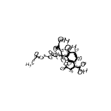 CC(=O)OCOC(=O)CNC(C)(CC(=O)O)c1c(O)ccc2c(C(=O)O)cc(=O)oc12